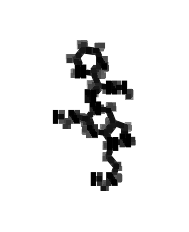 NCCn1ncc2c1N=C(N)N(/N=C(\N)c1ncccn1)C2